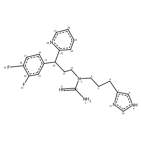 N=C(N)N(CCCc1c[nH]cn1)CCC(c1ccc(F)c(F)c1)c1ccccn1